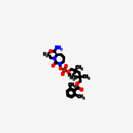 CCN1C(=O)N(OS(=O)(=O)OCC(C)(C)CC(C)(C)COC(=O)c2c(C)cccc2C)CCC[C@H]1C(N)=O